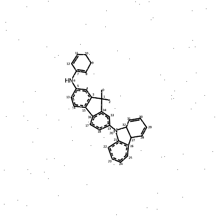 CC1(C)c2cc(NC3=CCCC=C3)ccc2-c2ccc(N3c4ccccc4C4C=CC=CC43)cc21